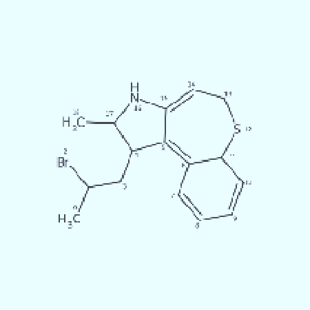 CC(Br)CC1C2=C3C=CC=CC3SCC=C2NC1C